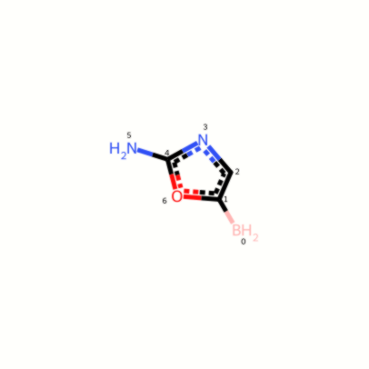 Bc1cnc(N)o1